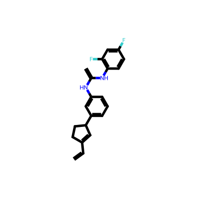 C=CC1=CC(c2cccc(NC(=C)Nc3ccc(F)cc3F)c2)CC1